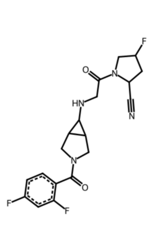 N#CC1CC(F)CN1C(=O)CNC1C2CN(C(=O)c3ccc(F)cc3F)CC21